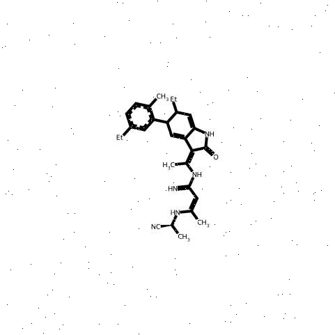 CCc1ccc(C)c(C2C=C3C(=CC2CC)NC(=O)/C3=C(/C)NC(=N)/C=C(/C)N[C@@H](C)C#N)c1